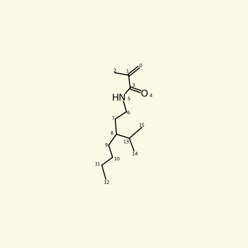 C=C(C)C(=O)NCCC(CCCC)C(C)C